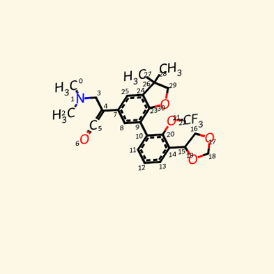 CN(C)CC(=C=O)c1cc(-c2cccc(C3COCO3)c2OC(F)(F)F)c2c(c1)C(C)(C)CO2